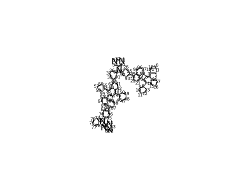 c1ccc(-c2c3c(c(-c4ccccc4)c4ccccc24)-c2ccc(-c4ccc(N(c5cncnc5)c5cccc(-c6ccc7c(-c8ccccc8)c8c(c(-c9ccccc9)c7c6)-c6cccc7c(-c9ccc(N(c%10ccccc%10)c%10ncncn%10)cc9)ccc-8c67)c5)cc4)c4cccc-3c24)cc1